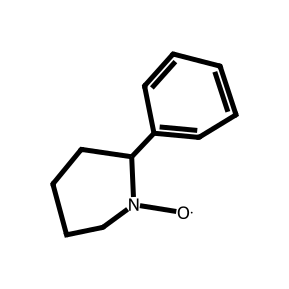 [O]N1CCCCC1c1ccccc1